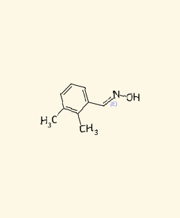 Cc1cccc(/C=N/O)c1C